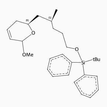 COC1C=CC[C@@H](C[C@@H](C)CCCO[Si](c2ccccc2)(c2ccccc2)C(C)(C)C)O1